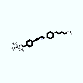 CCCCC[C@H]1CC[C@H](/C=C/C#Cc2ccc(CO[Si](C)(C)C)cc2)CC1